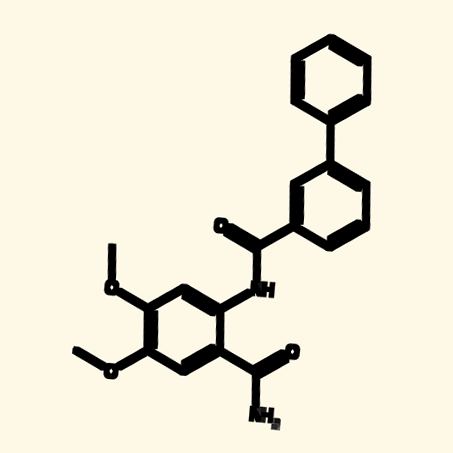 COc1cc(NC(=O)c2cccc(-c3ccccc3)c2)c(C(N)=O)cc1OC